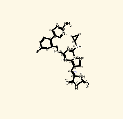 Nc1ncc(-c2ccc(F)cc2CNc2nc(NC3CC3)n3ncc(/C=C4\NC(=O)NC4=O)c3n2)cn1